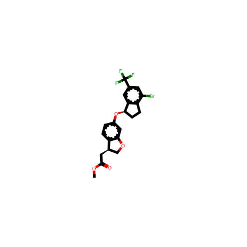 COC(=O)C[C@@H]1COc2cc(O[C@@H]3CCc4c(Br)cc(C(F)(F)F)cc43)ccc21